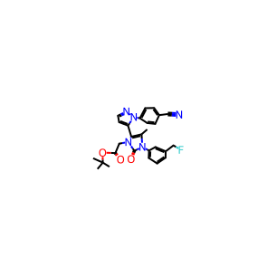 Cc1c(-c2ccnn2-c2ccc(C#N)cc2)n(CC(=O)OC(C)(C)C)c(=O)n1-c1cccc(CF)c1